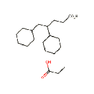 CCC(=O)O.O=C(O)CCC(CC1CCCCC1)C1CCCCC1